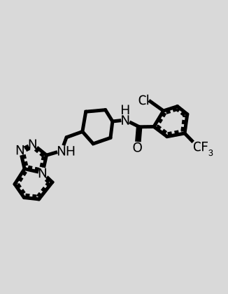 O=C(NC1CCC(CNc2nnc3ccccn23)CC1)c1cc(C(F)(F)F)ccc1Cl